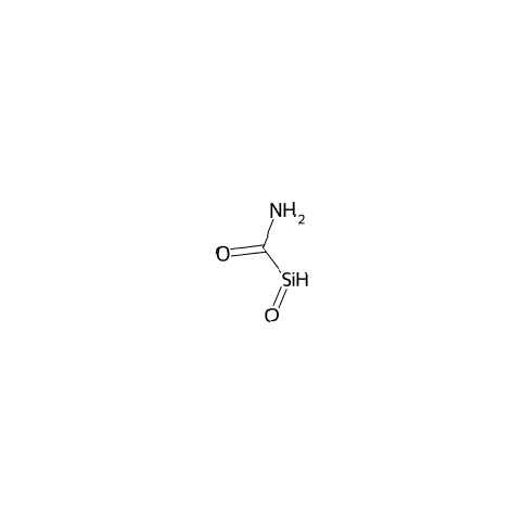 NC(=O)[SiH]=O